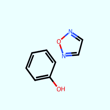 Oc1ccccc1.c1cnon1